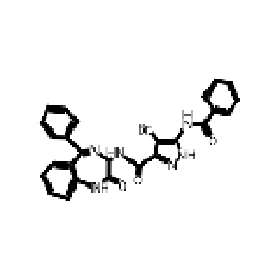 O=C(Nc1[nH]nc(C(=O)NC2N=C(c3ccccc3)c3ccccc3NC2=O)c1Br)c1ccccc1